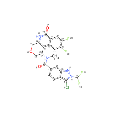 CN(C(=O)c1ccc2c(Cl)n(C(F)F)nc2c1)[C@@H]1COCc2[nH]c(=O)c3cc(F)c(F)cc3c21